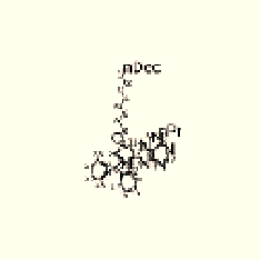 CCCCCCCCCCCCCCCCCCOc1cccc(C2(c3ccccc3)c3ccccc32)c1.CCCn1cnc2c(N)ncnc21